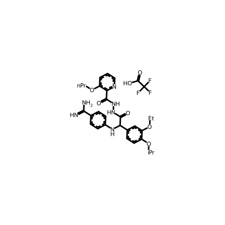 CCCOc1cccnc1C(=O)NNC(=O)C(Nc1ccc(C(=N)N)cc1)c1ccc(OC(C)C)c(OCC)c1.O=C(O)C(F)(F)F